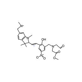 COC(=O)CN(CC=O)Cc1cc([N+](=O)[O-])cc(/C=C/C2N(C)c3cc(CN(C)C)ccc3C2(C)C)c1O